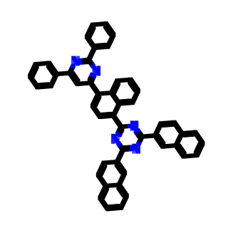 c1ccc(-c2cc(-c3ccc(-c4nc(-c5ccc6ccccc6c5)nc(-c5ccc6ccccc6c5)n4)c4ccccc34)nc(-c3ccccc3)n2)cc1